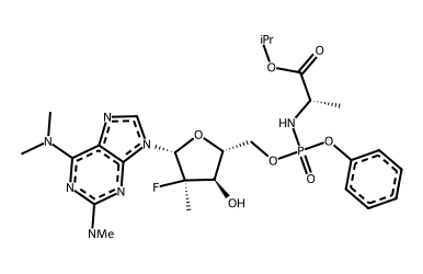 CNc1nc(N(C)C)c2ncn([C@@H]3O[C@H](COP(=O)(N[C@@H](C)C(=O)OC(C)C)Oc4ccccc4)[C@@H](O)[C@@]3(C)F)c2n1